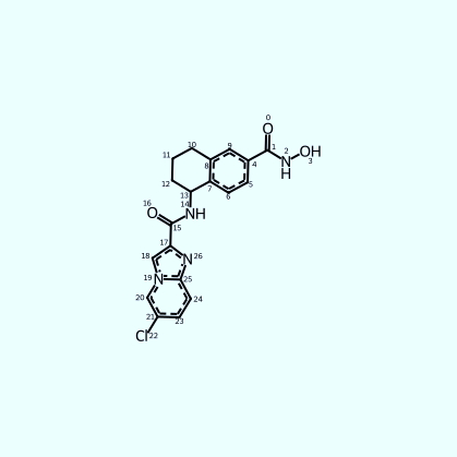 O=C(NO)c1ccc2c(c1)CCCC2NC(=O)c1cn2cc(Cl)ccc2n1